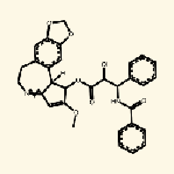 COC1=C[C@]23CCCN2CCc2cc4c(cc2[C@@H]3C1OC(=O)C(O)C(NC(=O)c1ccccc1)c1ccccc1)OCO4